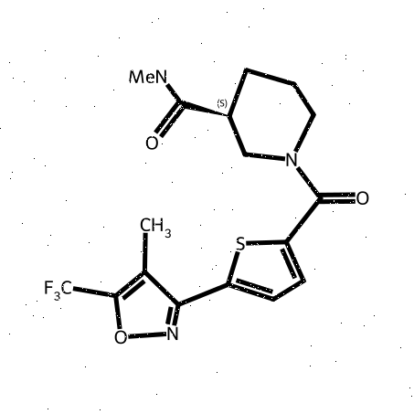 CNC(=O)[C@H]1CCCN(C(=O)c2ccc(-c3noc(C(F)(F)F)c3C)s2)C1